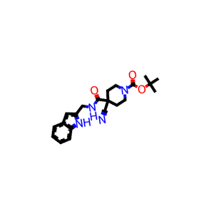 CC(C)(C)OC(=O)N1CCC(C#N)(C(=O)NCc2cc3ccccc3[nH]2)CC1